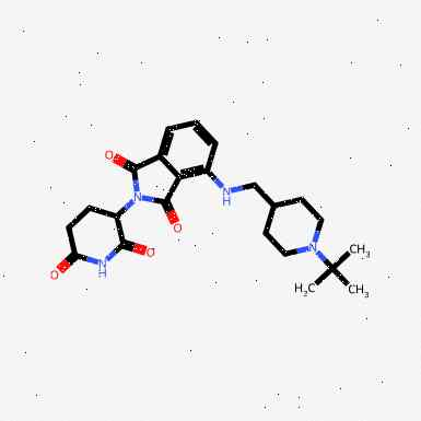 CC(C)(C)N1CCC(CNc2cccc3c2C(=O)N(C2CCC(=O)NC2=O)C3=O)CC1